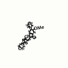 COc1cc2c(cc1N1CCOCC1)CC(Cc1sc(N3CCOCC3)nc1Cl)C2=O